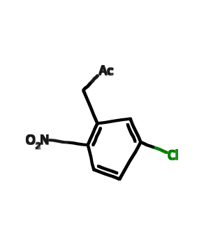 CC(=O)Cc1cc(Cl)ccc1[N+](=O)[O-]